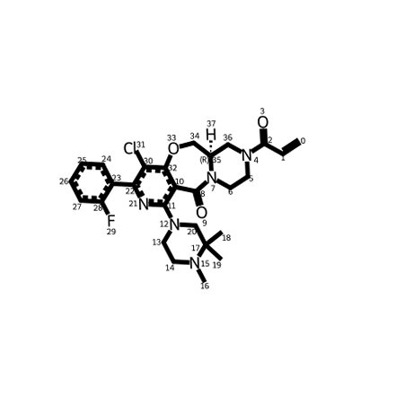 C=CC(=O)N1CCN2C(=O)c3c(N4CCN(C)C(C)(C)C4)nc(-c4ccccc4F)c(Cl)c3OC[C@H]2C1